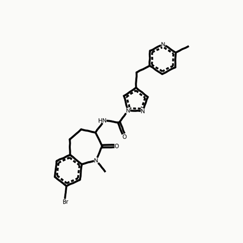 Cc1ccc(Cc2cnn(C(=O)NC3CCc4ccc(Br)cc4N(C)C3=O)c2)cn1